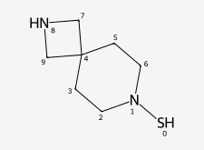 SN1CCC2(CC1)CNC2